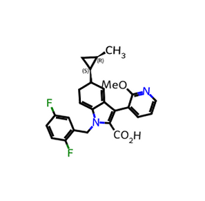 COc1ncccc1-c1c(C(=O)O)n(Cc2cc(F)ccc2F)c2c1=CC([C@H]1C[C@H]1C)CC=2